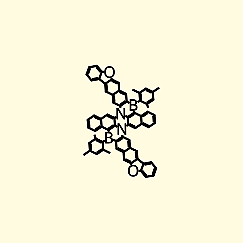 Cc1cc(C)c(B2c3cc4cc5oc6ccccc6c5cc4cc3N3c4cc5ccccc5c5c4N(c4cc6cc7c(cc6cc4B5c4c(C)cc(C)cc4C)oc4ccccc47)c4cc5ccccc5c2c43)c(C)c1